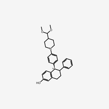 COC(OC)C1CCN(c2ccc([C@@H]3c4ccc(O)cc4CCC3c3ccccc3)cc2)CC1